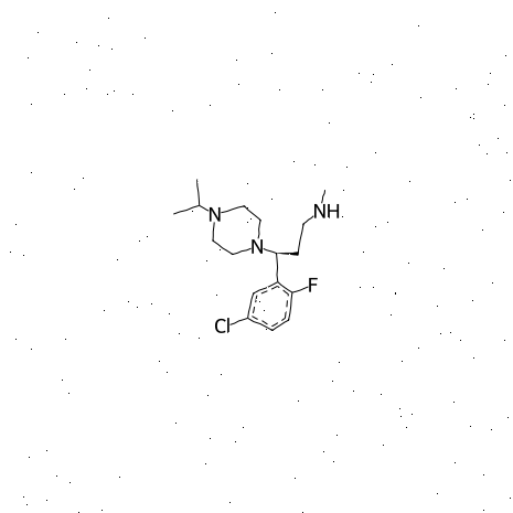 CNCC[C@@H](c1cc(Cl)ccc1F)N1CCN(C(C)C)CC1